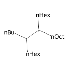 CCCCCCCC[C](CCCCCC)C(CCCC)CCCCCC